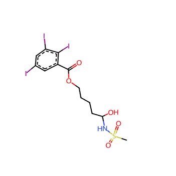 CS(=O)(=O)NC(O)CCCCOC(=O)c1cc(I)cc(I)c1I